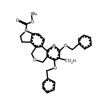 CC(C)(C)OC(=O)N1CCc2c1ccc1c2COCc2c-1nc(OCc1ccccc1)c(C(=O)O)c2OCc1ccccc1